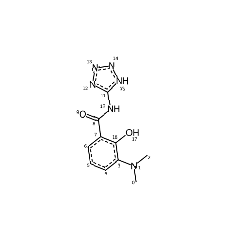 CN(C)c1cccc(C(=O)Nc2nnn[nH]2)c1O